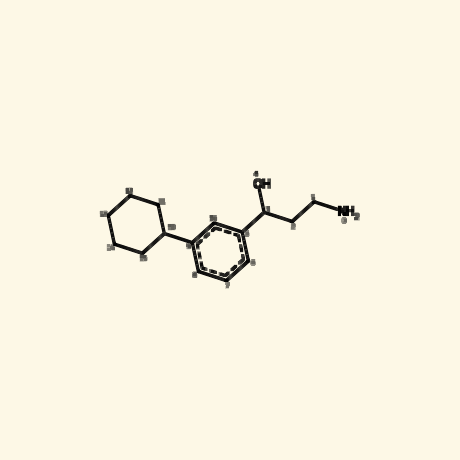 NCCC(O)c1cccc(C2CCCCC2)c1